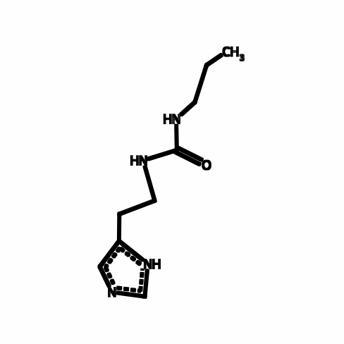 CCCNC(=O)NCCc1cnc[nH]1